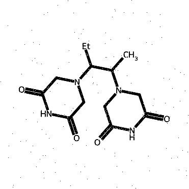 CCC(C(C)N1CC(=O)NC(=O)C1)N1CC(=O)NC(=O)C1